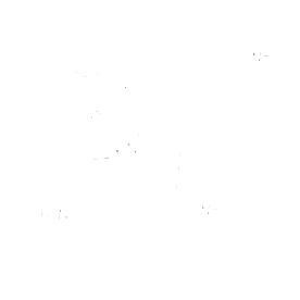 CC=CC1(OC2(C=CC)C=CC(N)=CC2N)C=CC(N)=CC1N